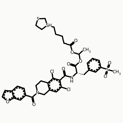 CC(OC(=O)CCCC[SH]1CCSC1)OC(=O)[C@H](Cc1cccc(S(C)(=O)=O)c1)NC(=O)c1c(Cl)cc2c(c1Cl)CCN(C(=O)c1ccc3ccoc3c1)C2